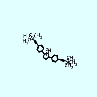 [2H]N1C(c2ccc(C#C[Si](C)(C)C)cc2)CCC1c1ccc(C#C[Si](C)(C)C)cc1